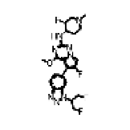 COc1nc(N[C@@H]2CCN(C)C[C@@H]2F)nn2cc(F)c(-c3ccc4nnn(C(CF)CF)c4c3)c12